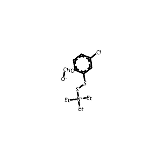 CC[N+](CC)(CC)SSc1cccc(Cl)c1.O=C[O-]